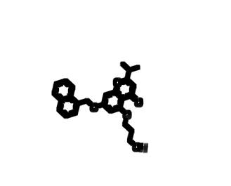 CC(C)c1cc(=O)c2c(OCCCO)cc(OCc3cccc4ccccc34)cc2o1